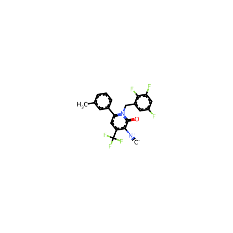 [C-]#[N+]c1c(C(F)(F)F)cc(-c2cccc(C)c2)n(Cc2cc(F)cc(F)c2F)c1=O